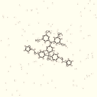 Cc1cc(C)cc(N(c2ccc(C(C)(c3ccc(OCc4ccco4)cc3)c3ccc(OCc4ccco4)cc3)cc2)c2cc(C)cc(C)c2)c1